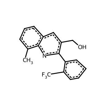 Cc1cccc2cc(CO)c(-c3ccccc3C(F)(F)F)nc12